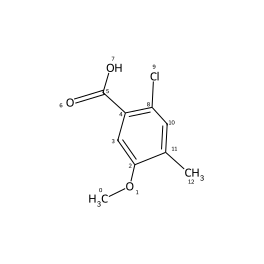 COc1cc(C(=O)O)c(Cl)cc1C